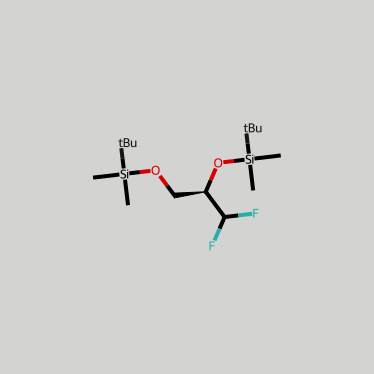 CC(C)(C)[Si](C)(C)OC[C@@H](O[Si](C)(C)C(C)(C)C)C(F)F